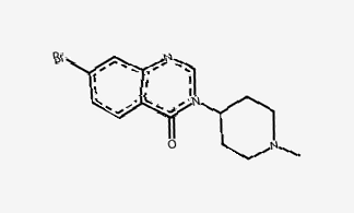 CN1CCC(n2cnc3cc(Br)ccc3c2=O)CC1